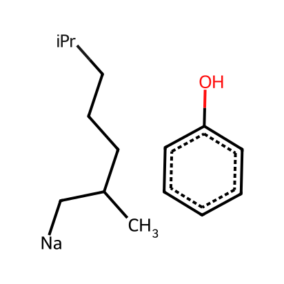 CC(C)CCCC(C)[CH2][Na].Oc1ccccc1